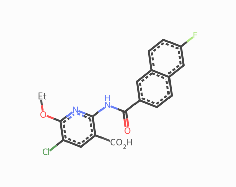 CCOc1nc(NC(=O)c2ccc3cc(F)ccc3c2)c(C(=O)O)cc1Cl